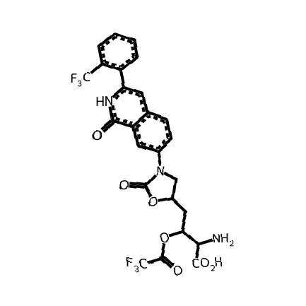 NC(C(=O)O)C(CC1CN(c2ccc3cc(-c4ccccc4C(F)(F)F)[nH]c(=O)c3c2)C(=O)O1)OC(=O)C(F)(F)F